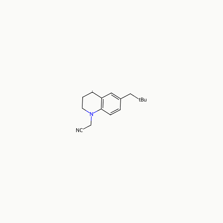 CC(C)(C)Cc1ccc2c(c1)[CH]CCN2CC#N